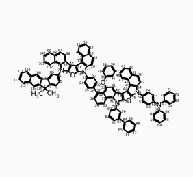 CC1(C)c2ccc(-n3c4oc5c(c6c7ccccc7ccc6n5-c5ccc(-c6cccc7c6c(Oc6ccccc6)cc6c8c9c%10c%11ccccc%11ccc%10n(-c%10ccc(N(c%11ccccc%11)c%11ccccc%11)cc%10)c9oc8n(-c8cccc(-c9ccccc9)c8)c76)cc5)c4c4ccc5ccccc5c43)cc2-c2cc3ccccc3cc21